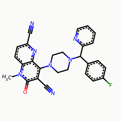 Cn1c(=O)c(C#N)c(N2CCN(C(c3ccc(F)cc3)c3ccccn3)CC2)c2nc(C#N)ccc21